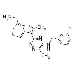 Cc1nnc(-n2c(C)cc3c(CN)cccc32)nc1NCc1cccc(F)c1